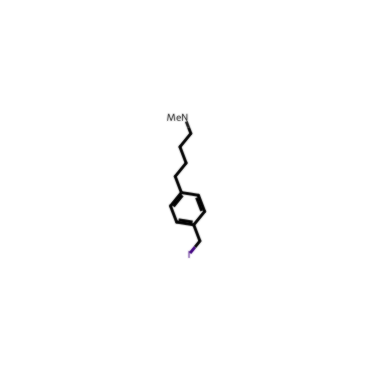 CNCCCCc1ccc(CI)cc1